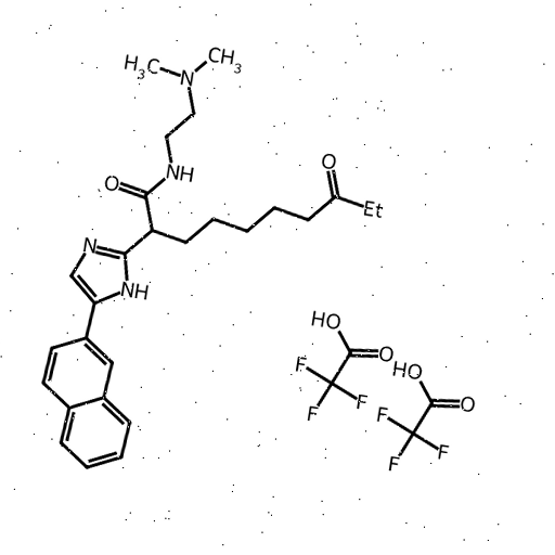 CCC(=O)CCCCCC(C(=O)NCCN(C)C)c1ncc(-c2ccc3ccccc3c2)[nH]1.O=C(O)C(F)(F)F.O=C(O)C(F)(F)F